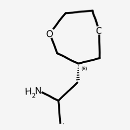 [CH2]C(N)C[C@H]1CCCCOC1